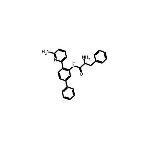 Nc1cccc(-c2ccc(-c3ccccc3)cc2NC(=O)C(N)Cc2ccccc2)n1